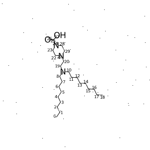 CCCCCCCCCN(CCCCCCCCC)CCN1CCN(C(=O)O)CC1